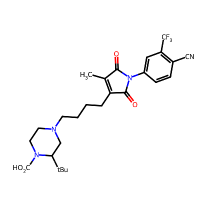 CC1=C(CCCCN2CCN(C(=O)O)C(C(C)(C)C)C2)C(=O)N(c2ccc(C#N)c(C(F)(F)F)c2)C1=O